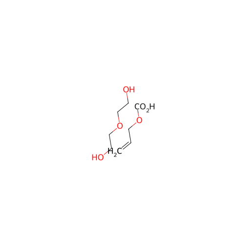 C=CCOC(=O)O.OCCOCCO